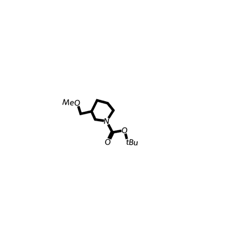 COCC1CCCN(C(=O)OC(C)(C)C)C1